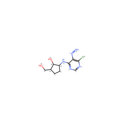 N=Nc1c(Cl)ncnc1NC1CCC(CO)C1O